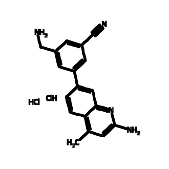 Cc1cc(N)nc2cc(-c3cc(C#N)cc(CN)c3)ccc12.Cl.Cl